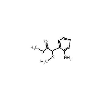 COC(=O)C(SC)c1ccccc1N